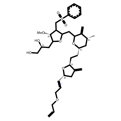 C=CCOC/C=C/[C@H]1CC(=C)[C@H](CC[C@H]2C[C@@H](C)C(=C)C(CC3OC(C[C@H](O)CO)[C@H](OC)C3CS(=O)(=O)c3ccccc3)O2)O1